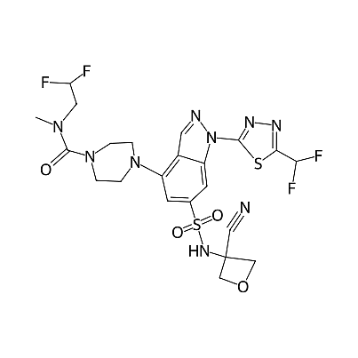 CN(CC(F)F)C(=O)N1CCN(c2cc(S(=O)(=O)NC3(C#N)COC3)cc3c2cnn3-c2nnc(C(F)F)s2)CC1